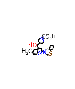 Cc1ccc2nc(N3CCSc4ccccc4C3)cc(C(O)C3CCN(C(=O)O)CC3)c2c1